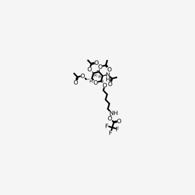 CC(=O)N[C@H]1[C@H](OCCCCCNOC(=O)C(F)(F)F)O[C@H](COC(C)=O)[C@H](OC(C)=O)[C@@H]1OC(C)=O